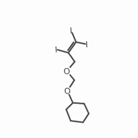 IC(I)=C(I)COCOC1CCCCC1